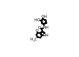 CC1CC(=O)c2c(C(=O)Nc3ccc(O)c(O)c3)c[nH]c2C1